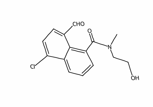 CN(CCO)C(=O)c1cccc2c(Cl)ccc(C=O)c12